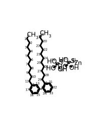 CCCCCCCCCCCCc1ccccc1.CCCCCCCCCCCCc1ccccc1.OP(O)(O)=S.OP(O)(O)=S.[Zn]